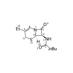 CCCCC(=O)N[C@@H]1C(=O)N2C=C(CC)CS[C@H]12